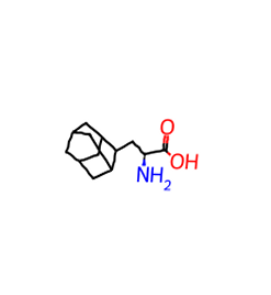 N[C@@H](CC1C2CC3CC(C2)CC1C3)C(=O)O